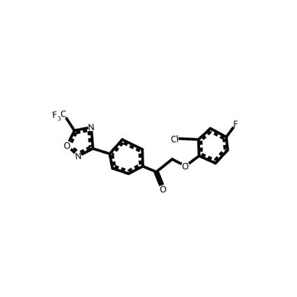 O=C(COc1ccc(F)cc1Cl)c1ccc(-c2noc(C(F)(F)F)n2)cc1